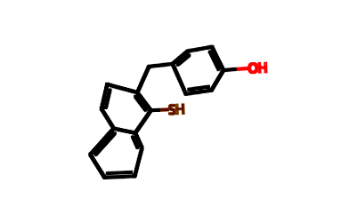 Oc1ccc(Cc2ccc3ccccc3c2S)cc1